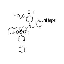 CCCCCCCc1ccc(CN(C(=O)CN(Cc2ccccc2)S(=O)(=O)c2ccc(-c3ccccc3)cc2)c2ccc(O)c(C(=O)O)c2)cc1